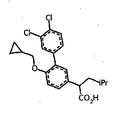 CC(C)CC(C(=O)O)c1ccc(OCC2CC2)c(-c2ccc(Cl)c(Cl)c2)c1